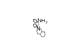 NC(=O)CC(=O)N1CCC2CCCCC2C1